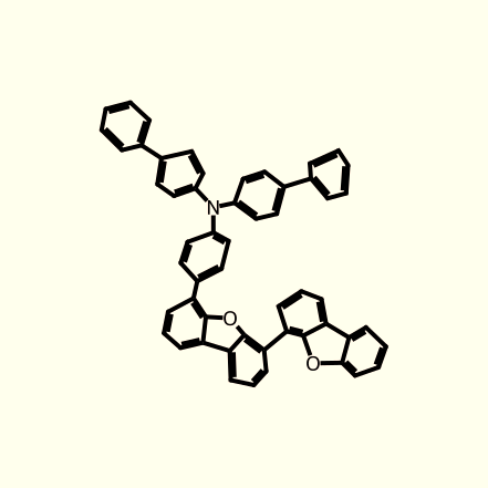 c1ccc(-c2ccc(N(c3ccc(-c4ccccc4)cc3)c3ccc(-c4cccc5c4oc4c(-c6cccc7c6oc6ccccc67)cccc45)cc3)cc2)cc1